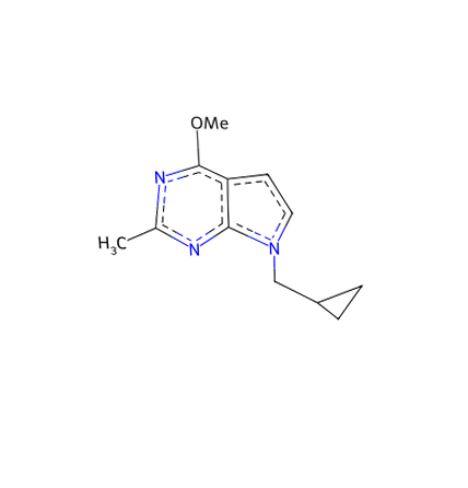 COc1nc(C)nc2c1ccn2CC1CC1